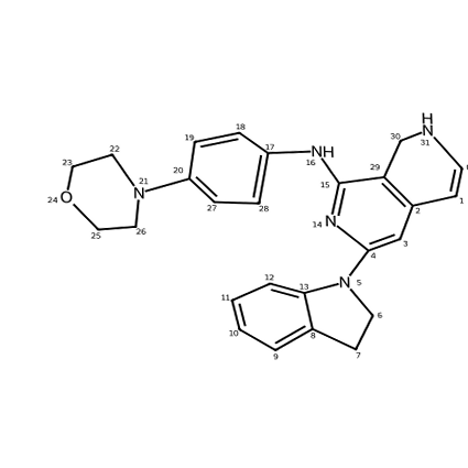 C1=Cc2cc(N3CCc4ccccc43)nc(Nc3ccc(N4CCOCC4)cc3)c2CN1